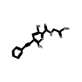 COC(=O)CNC(=O)c1nc(C)c(C#Cc2ccccc2)cc1O